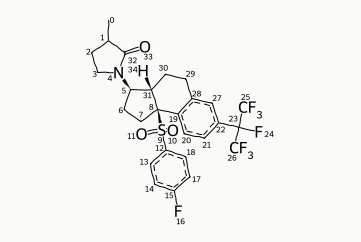 CC1CCN([C@@H]2CC[C@@]3(S(=O)(=O)c4ccc(F)cc4)c4ccc(C(F)(C(F)(F)F)C(F)(F)F)cc4CC[C@@H]23)C1=O